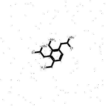 CCCCC(CC)Cc1ccc(CN)c(CC(CC)CCCC)c1CN